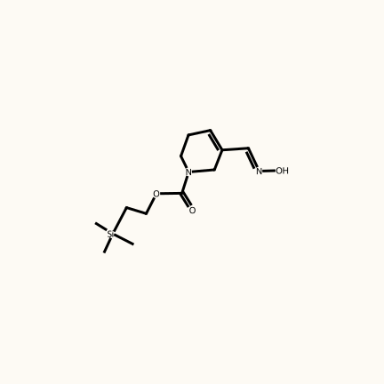 C[Si](C)(C)CCOC(=O)N1CCC=C(C=NO)C1